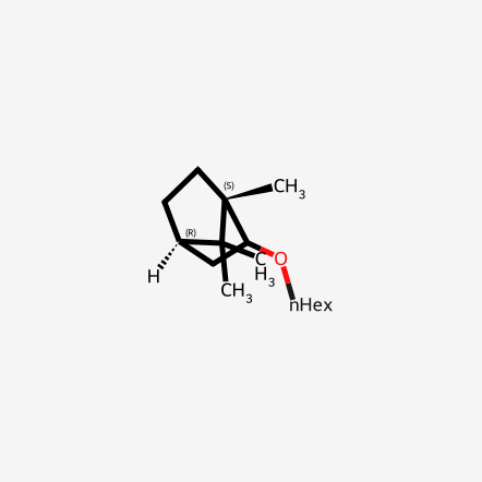 CCCCCCOC1C[C@H]2CC[C@@]1(C)C2(C)C